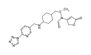 C[C@@H](CC1CCC(NCc2ccc(-n3cnnn3)nc2)CC1)N(C=O)C1=CC(=O)OC1